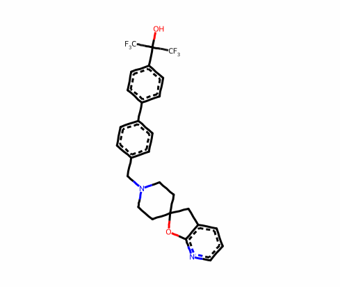 OC(c1ccc(-c2ccc(CN3CCC4(CC3)Cc3cccnc3O4)cc2)cc1)(C(F)(F)F)C(F)(F)F